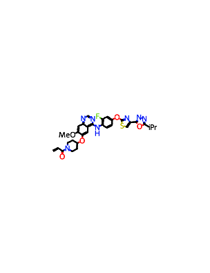 C=CC(=O)N1CCC(Oc2cc3c(Nc4ccc(Oc5nc(-c6nnc(C(C)C)o6)cs5)cc4F)ncnc3cc2OC)CC1